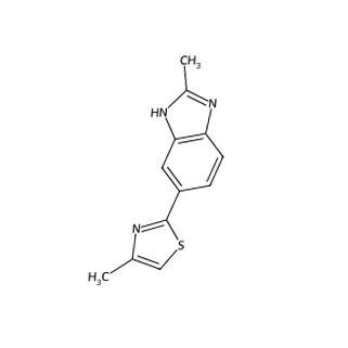 Cc1csc(-c2ccc3nc(C)[nH]c3c2)n1